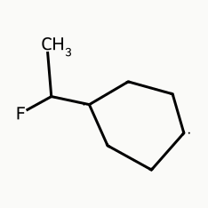 CC(F)[C]1CC[CH]CC1